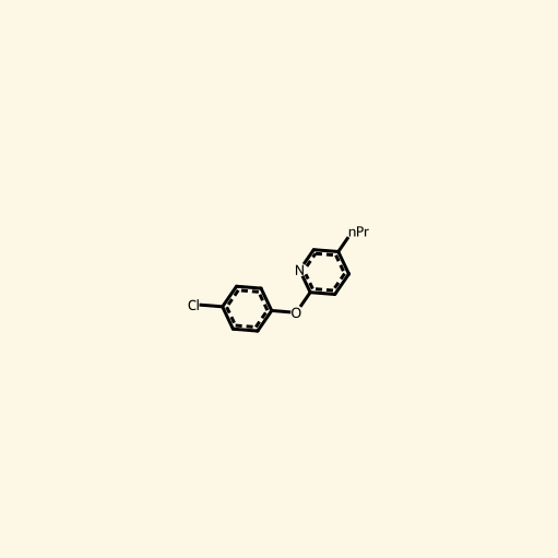 CCCc1ccc(Oc2ccc(Cl)cc2)nc1